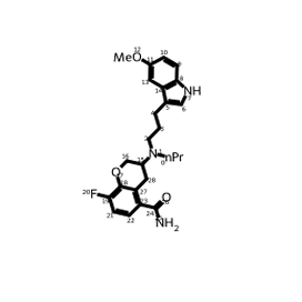 CCCN(CCCc1c[nH]c2ccc(OC)cc12)C1COc2c(F)ccc(C(N)=O)c2C1